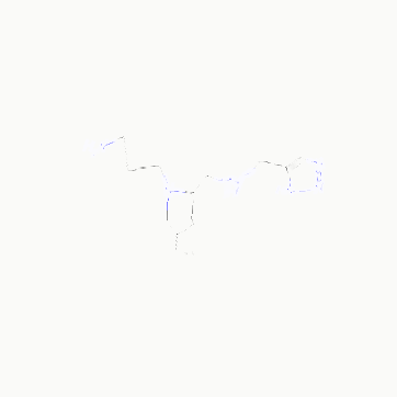 CC(C)(C)C1CC(CNCc2cnn[nH]2)N(CCCN)C1